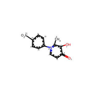 Cc1c(O)c(=O)ccn1-c1ccc([N+](=O)[O-])cc1